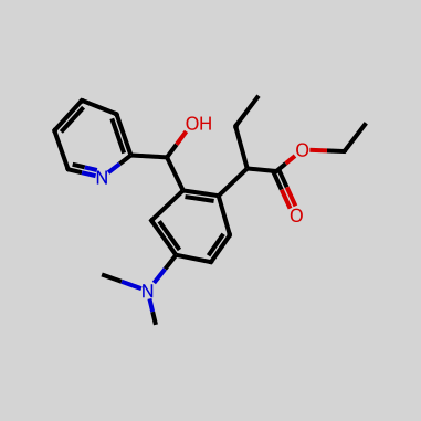 CCOC(=O)C(CC)c1ccc(N(C)C)cc1C(O)c1ccccn1